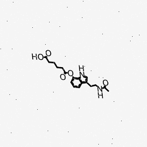 CC(=O)NCCc1c[nH]c2c(OC(=O)CCCCC(=O)O)cccc12